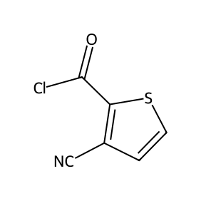 N#Cc1ccsc1C(=O)Cl